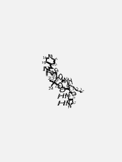 CCCC[C@H](NC(=O)O[C@H](c1nnc(-c2ccncc2)o1)C(C)(C)C)C(=O)C(=O)Nc1ccn[nH]1